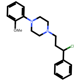 COc1ccccc1N1CCN(CCC(Cl)c2ccccc2)CC1